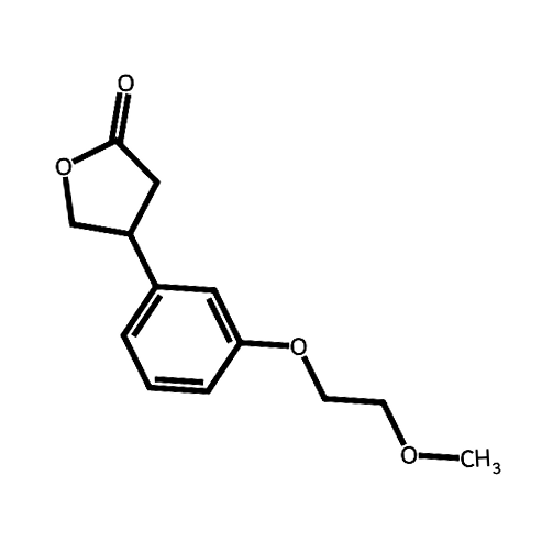 COCCOc1cccc(C2COC(=O)C2)c1